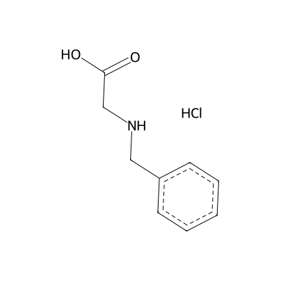 Cl.O=C(O)CNCc1ccccc1